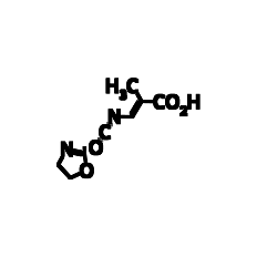 CC(=CN=C=O)C(=O)O.[C]1=NCCO1